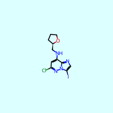 Clc1cc(NC[C@H]2CCCO2)c2ncc(I)n2n1